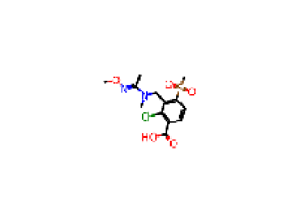 CO/N=C(\C)N(C)Cc1c(S(C)(=O)=O)ccc(C(=O)O)c1Cl